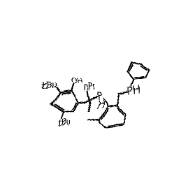 CCCC(C)(Pc1c(C)cccc1CPc1ccccc1)c1cc(C(C)(C)C)cc(C(C)(C)C)c1O